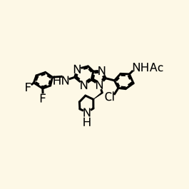 CC(=O)Nc1ccc(Cl)c(-c2nc3cnc(NCc4ccc(F)c(F)c4)nc3n2C[C@@H]2CCCNC2)c1